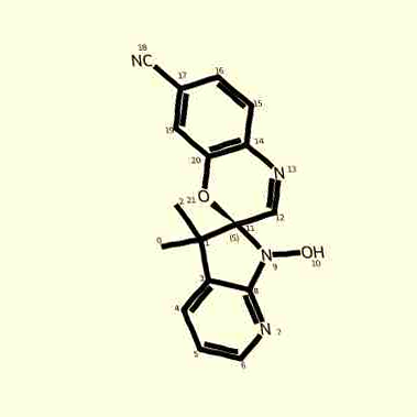 CC1(C)c2cccnc2N(O)[C@@]12C=Nc1ccc(C#N)cc1O2